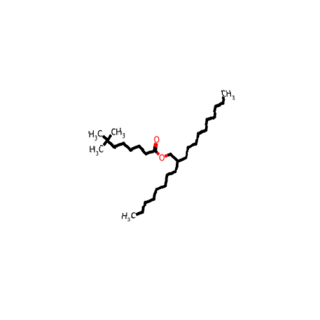 CCCCCCCCCCC(CCCCCCCC)COC(=O)CCCCCC(C)(C)C